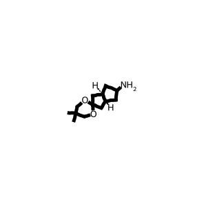 CC1(C)COC2(C[C@H]3CC(N)C[C@H]3C2)OC1